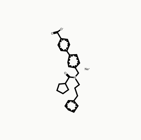 O=C([O-])c1ccc(-c2ccc(CN(CCCc3ccccc3)C(=O)C3CCCC3)cc2)cc1.[Na+]